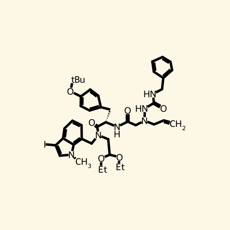 C=CCN(CC(=O)N[C@@H](Cc1ccc(OC(C)(C)C)cc1)C(=O)N(Cc1cccc2c(I)cn(C)c12)CC(OCC)OCC)NC(=O)NCc1ccccc1